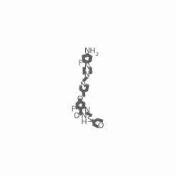 Nc1ccc(N2CCN(CCN3CCC(COc4cc(F)c5c(=O)[nH]c(CSC6CCOCC6)nc5c4)CC3)CC2)c(F)c1